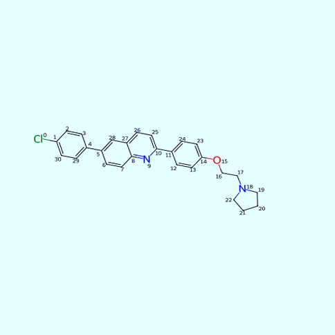 Clc1ccc(-c2ccc3nc(-c4ccc(OCCN5CCCC5)cc4)ccc3c2)cc1